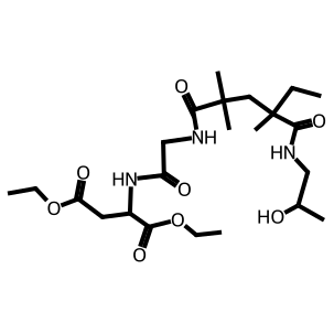 CCOC(=O)CC(NC(=O)CNC(=O)C(C)(C)CC(C)(CC)C(=O)NCC(C)O)C(=O)OCC